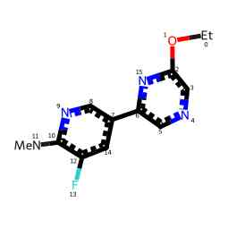 CCOc1cncc(-c2cnc(NC)c(F)c2)n1